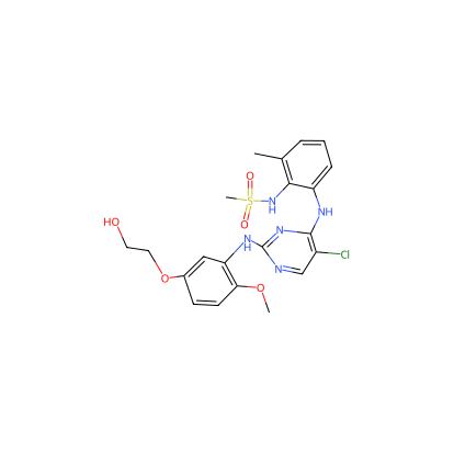 COc1ccc(OCCO)cc1Nc1ncc(Cl)c(Nc2cccc(C)c2NS(C)(=O)=O)n1